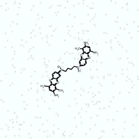 CC/[N+](CCCC/[N+](CC)=c1/ccc2nc3c(N)cc(N)c(C)c3oc-2c1)=c1\ccc2nc3c(N)cc(N)c(C)c3oc-2c1